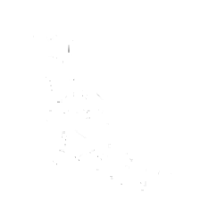 Cc1ccn(-c2cc(-c3ccc(C)c(C)c3)ccc2C(Oc2cc(N3CCC4(CC3)CNC(C(=O)O)C4)nc(N)n2)C(F)(F)F)n1